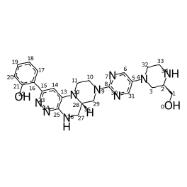 OC[C@H]1CN(c2cnc(N3CCN4c5cc(-c6ccccc6O)nnc5NC[C@H]4C3)nc2)CCN1